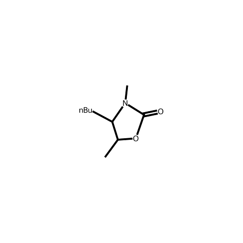 CCCCC1C(C)OC(=O)N1C